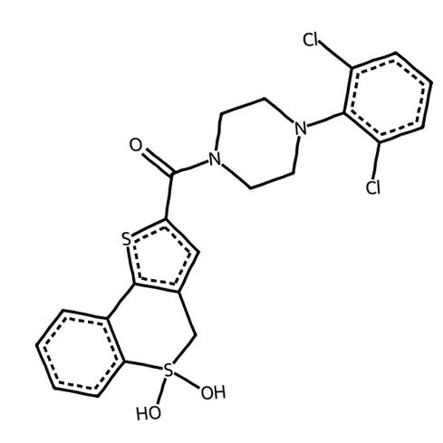 O=C(c1cc2c(s1)-c1ccccc1S(O)(O)C2)N1CCN(c2c(Cl)cccc2Cl)CC1